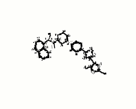 Cc1nc(-c2nc(-c3ccc([C@H]4CCC[C@H](N[C@H](C)c5cccc6ccccc56)C4)cc3)no2)c(C)o1